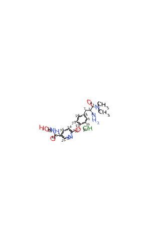 CN(C)C(=O)C(N)Cc1ccc(Oc2ccc(C(=O)NO)cn2)cc1.Cl